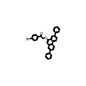 O=C(COc1cc2cc(-c3ccccc3)ccc2c2ccc(-c3ccccc3)cc12)c1ccc(Br)cc1